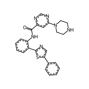 O=C(Nc1ccccc1-c1ncc(-c2ccccc2)s1)c1cc(N2CCNCC2)ncn1